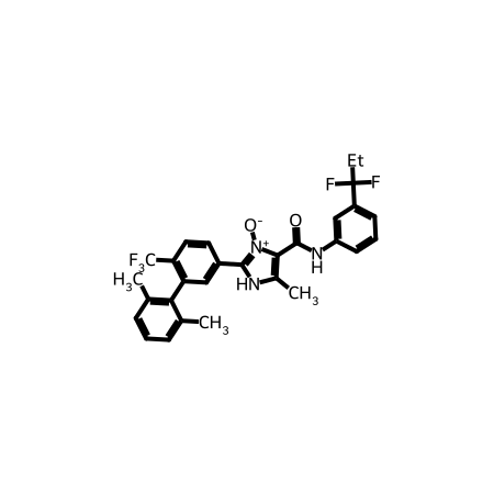 CCC(F)(F)c1cccc(NC(=O)c2c(C)[nH]c(-c3ccc(C(F)(F)F)c(-c4c(C)cccc4C)c3)[n+]2[O-])c1